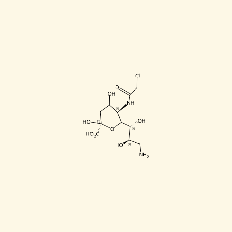 NC[C@@H](O)[C@@H](O)C1O[C@](O)(C(=O)O)CC(O)[C@H]1NC(=O)CCl